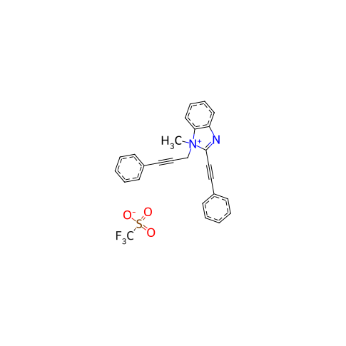 C[N+]1(CC#Cc2ccccc2)C(C#Cc2ccccc2)=Nc2ccccc21.O=S(=O)([O-])C(F)(F)F